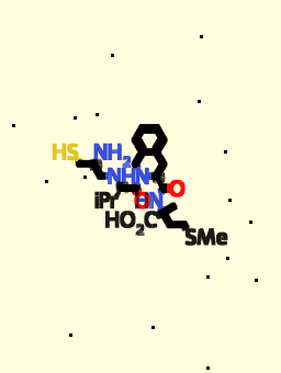 CSCCC(C)(NC(=O)[C@@H]1Cc2ccccc2CN1C(=O)[C@@H](NC[C@@H](N)CS)C(C)C)C(=O)O